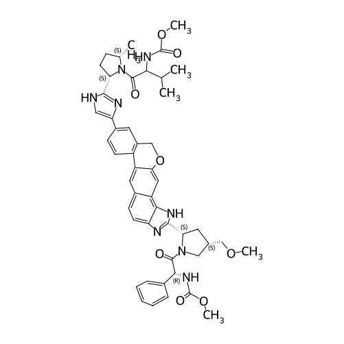 COC[C@H]1C[C@@H](c2nc3ccc4cc5c(cc4c3[nH]2)OCc2cc(-c3c[nH]c([C@@H]4CC[C@H](C)N4C(=O)C(NC(=O)OC)C(C)C)n3)ccc2-5)N(C(=O)[C@H](NC(=O)OC)c2ccccc2)C1